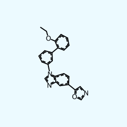 CCOc1ccccc1-c1cccc(-n2cnc3cc(-c4cnco4)ccc32)c1